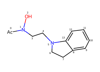 CC(=O)N(O)CCN1CCc2ccccc21